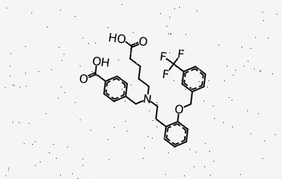 O=C(O)CCCCN(CCc1ccccc1OCc1cccc(C(F)(F)F)c1)Cc1ccc(C(=O)O)cc1